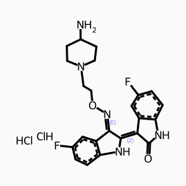 Cl.Cl.NC1CCN(CCO/N=C2/C(=C3/C(=O)Nc4ccc(F)cc43)Nc3ccc(F)cc32)CC1